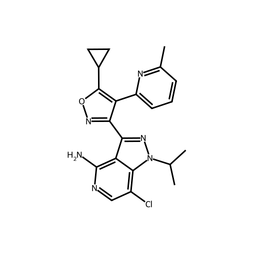 Cc1cccc(-c2c(-c3nn(C(C)C)c4c(Cl)cnc(N)c34)noc2C2CC2)n1